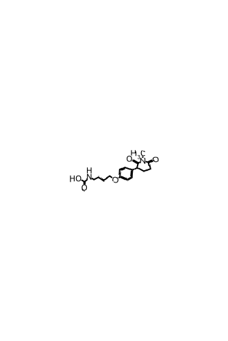 CN1C(=O)CCC(c2ccc(OCCCCNC(=O)O)cc2)C1=O